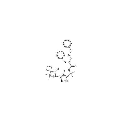 CC1(C)c2[nH]nc(NC(=O)C3([Si](C)(C)C)CCC3)c2CN1C(=O)C(COCc1ccccc1)Oc1ccccc1